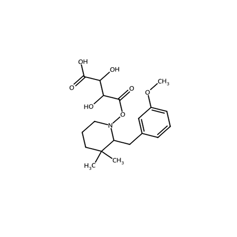 COc1cccc(CC2N(OC(=O)C(O)C(O)C(=O)O)CCCC2(C)C)c1